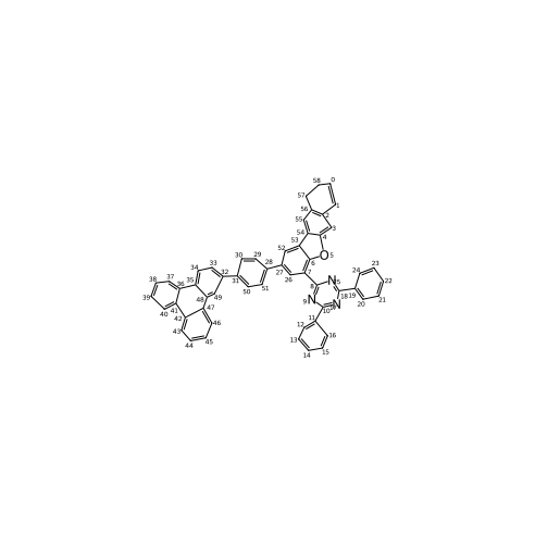 C1=Cc2cc3oc4c(-c5nc(-c6ccccc6)nc(-c6ccccc6)n5)cc(-c5ccc(-c6ccc7c8ccccc8c8ccccc8c7c6)cc5)cc4c3cc2CC1